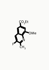 CCOC(=O)c1cc(OC)c2nc(C)c(F)cc2c1